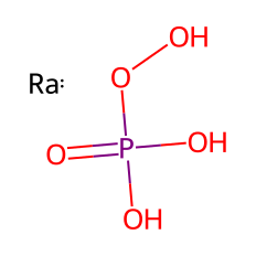 O=P(O)(O)OO.[Ra]